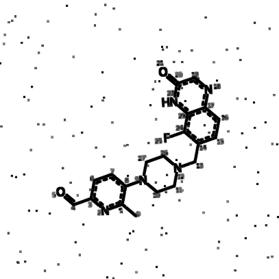 Cc1nc(C=O)ccc1N1CCN(Cc2ccc3ncc(=O)[nH]c3c2F)CC1